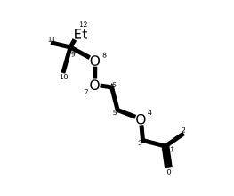 C=C(C)COC[CH]OOC(C)(C)CC